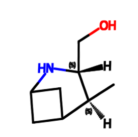 C[C@H]1C2CC(C2)N[C@@H]1CO